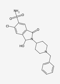 NS(=O)(=O)c1cc2c(cc1Cl)C(O)N(C1CCN(Cc3ccccc3)CC1)C2=O